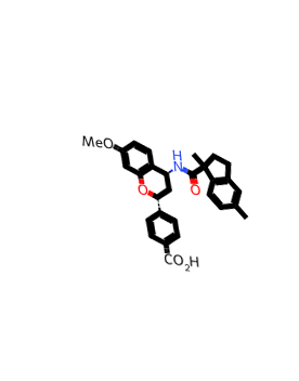 COc1ccc2c(c1)O[C@@H](c1ccc(C(=O)O)cc1)C[C@H]2NC(=O)C1(C)CCc2cc(C)ccc21